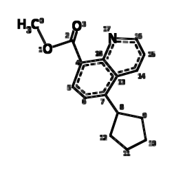 COC(=O)c1ccc(C2CCCC2)c2cccnc12